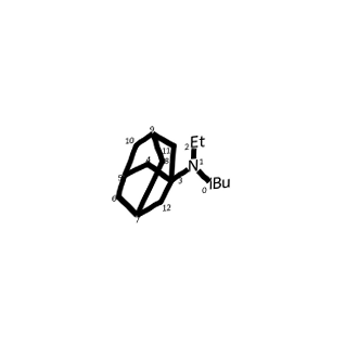 CCC(C)N(CC)C12CC3CC(CC(C3)C1)C2